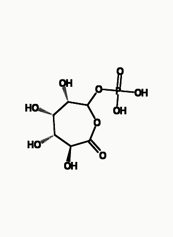 O=C1OC(OP(=O)(O)O)[C@@H](O)[C@@H](O)[C@@H](O)[C@@H]1O